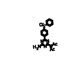 CC(=O)N(C(C)=O)c1nc(N)nc(-c2ccc([S+]([O-])c3ccccc3)cc2)n1